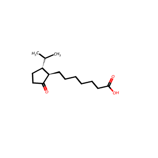 CC(C)[C@H]1CCC(=O)[C@@H]1CCCCCCC(=O)O